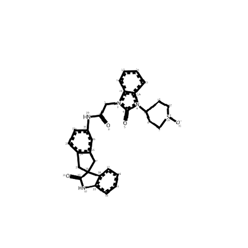 O=C(Cn1c(=O)n(C2CC[S+]([O-])CC2)c2ccccc21)Nc1ccc2c(c1)CC1(C2)C(=O)Nc2ccccc21